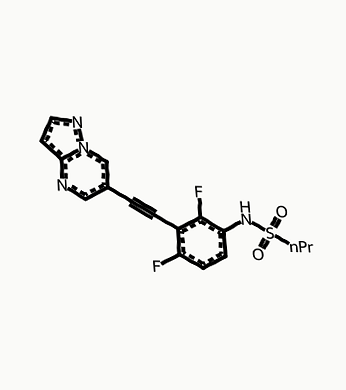 CCCS(=O)(=O)Nc1ccc(F)c(C#Cc2cnc3ccnn3c2)c1F